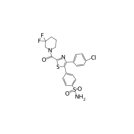 NS(=O)(=O)c1ccc(-c2sc(C(=O)N3CCCC(F)(F)C3)nc2-c2ccc(Cl)cc2)cc1